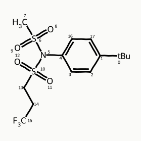 CC(C)(C)c1ccc(N(S(C)(=O)=O)S(=O)(=O)CCC(F)(F)F)cc1